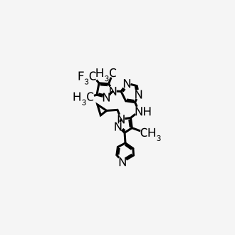 Cc1nn(-c2cc(Nc3c(C)c(-c4ccncc4)nn3CC3CC3)ncn2)c(C)c1C(F)(F)F